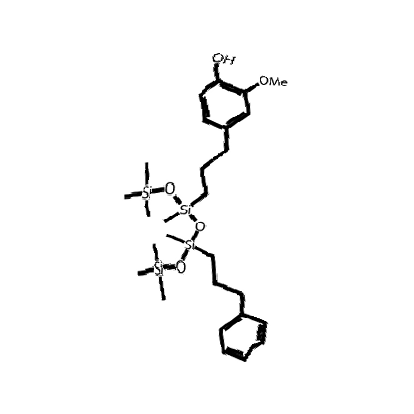 COc1cc(CCC[Si](C)(O[Si](C)(C)C)O[Si](C)(CCCc2ccccc2)O[Si](C)(C)C)ccc1O